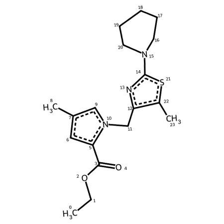 CCOC(=O)c1cc(C)cn1Cc1nc(N2CCCCC2)sc1C